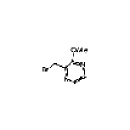 COc1nccnc1CBr